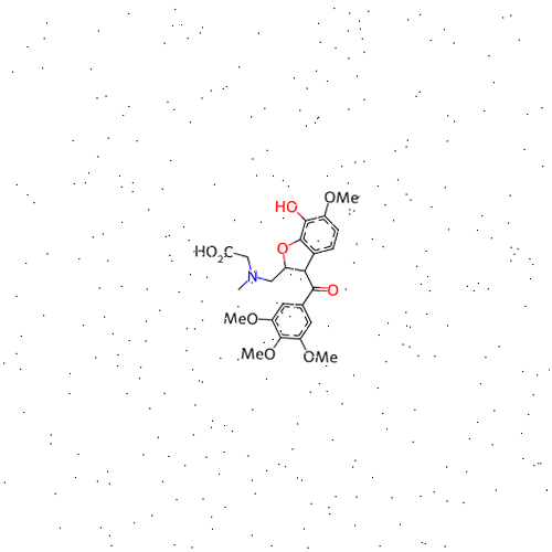 COc1ccc2c(c1O)OC(CN(C)CC(=O)O)C2C(=O)c1cc(OC)c(OC)c(OC)c1